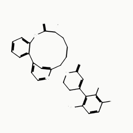 Cc1ccc(C#N)c(C2=CC(=O)N([C@H]3CCC[C@@H](C)C(=O)Nc4ccccc4-c4ccnc3c4)CC2)c1F